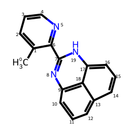 Cc1cccnc1C1=Nc2cccc3cccc(c23)N1